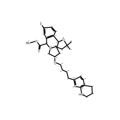 CC(C)(C)OC(=O)C(c1cc(F)ccc1C1CCC(C)(C)O1)N1CC[C@@H](OCCCCc2ccc3c(n2)NCCC3)C1